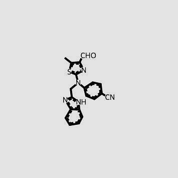 Cc1sc(N(Cc2nc3ccccc3[nH]2)c2ccc(C#N)cc2)nc1C=O